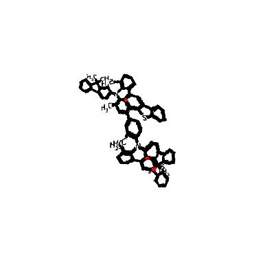 Cc1cc(-c2ccc(N(c3ccc4c(c3)C(C)(C)c3ccccc3-4)c3c(C)cccc3-c3ccc4sc5ccccc5c4c3)c(C)c2)ccc1N(c1ccc2c(c1)C(C)(C)c1ccccc1-2)c1c(C)cccc1-c1ccc2sc3ccccc3c2c1